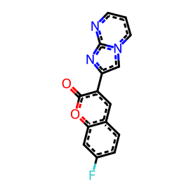 O=c1oc2cc(F)ccc2cc1-c1cn2cccnc2n1